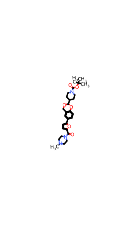 CN1CCN(C(=O)c2ccc(-c3ccc4c(c3)COC(C3CCN(C(=O)OC(C)(C)C)CC3)O4)o2)CC1